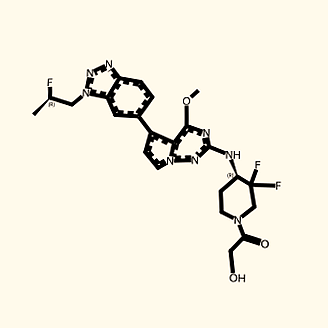 COc1nc(N[C@@H]2CCN(C(=O)CO)CC2(F)F)nn2ccc(-c3ccc4nnn(C[C@@H](C)F)c4c3)c12